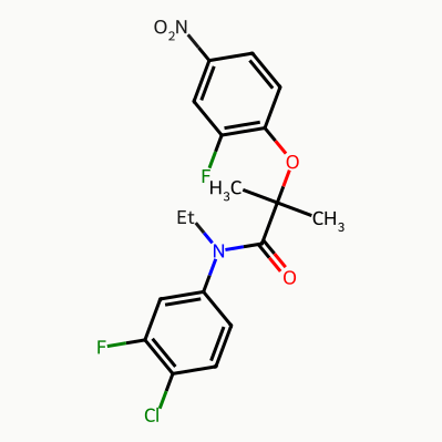 CCN(C(=O)C(C)(C)Oc1ccc([N+](=O)[O-])cc1F)c1ccc(Cl)c(F)c1